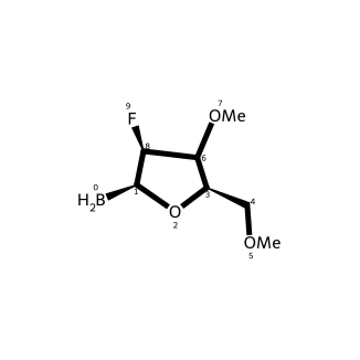 B[C@@H]1O[C@H](COC)C(OC)[C@@H]1F